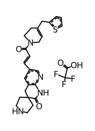 O=C(C=Cc1cnc2c(c1)CC1(CCNCC1)C(=O)N2)N1CC=C(Cc2cccs2)CC1.O=C(O)C(F)(F)F